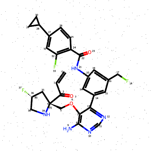 C=CC(=O)[C@@]1(COc2c(N)ncnc2-c2cc(CF)cc(NC(=O)c3ccc(C4CC4)cc3F)c2)C[C@@H](F)CN1